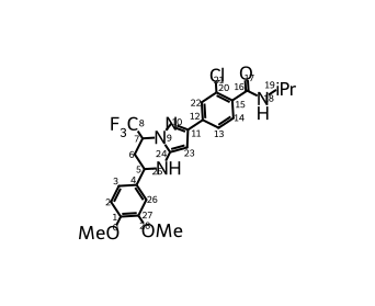 COc1ccc(C2CC(C(F)(F)F)n3nc(-c4ccc(C(=O)NC(C)C)c(Cl)c4)cc3N2)cc1OC